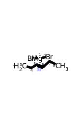 [Br][Mg][Br].[CH2]C/C=C/CC